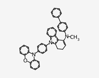 CN(C1=CCCc2c1c1ccccc1n2-c1ccc(N2c3ccccc3Oc3ccccc32)cc1)c1ccc(-c2ccccc2)cc1